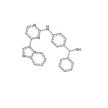 OC(c1ccccc1)c1ccc(Nc2nccc(-c3cnc4ccccn34)n2)cc1